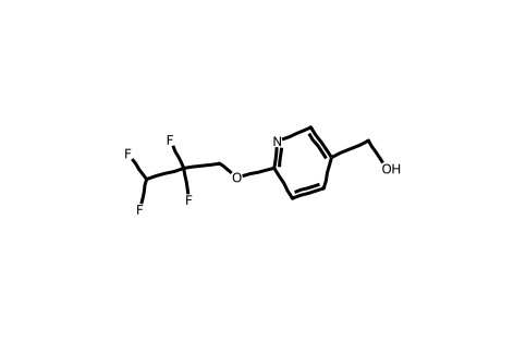 OCc1ccc(OCC(F)(F)C(F)F)nc1